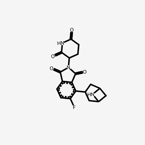 O=C1CCC(N2C(=O)c3ccc(F)c(C4CC5CC(C4)N5)c3C2=O)C(=O)N1